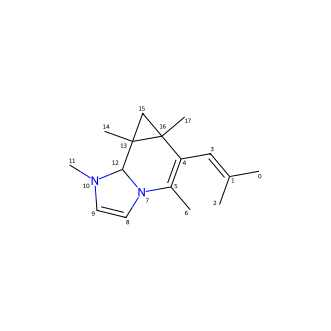 CC(C)=CC1=C(C)N2C=CN(C)C2C2(C)CC12C